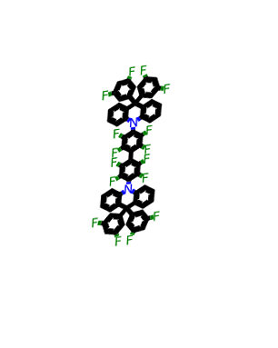 Fc1cc(F)cc(C2(c3cc(F)cc(F)c3)c3ccccc3N(c3c(F)c(F)c(-c4c(F)c(F)c(N5c6ccccc6C(c6cc(F)cc(F)c6)(c6cc(F)cc(F)c6)c6ccccc65)c(F)c4F)c(F)c3F)c3ccccc32)c1